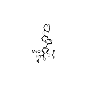 COc1cc(-c2cnc3cc(OC4CCOCC4)ccn23)cc(OC(F)F)c1C(=O)NC1CC1